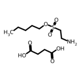 CCCCCOS(=O)(=O)CCN.O=C(O)CCC(=O)O